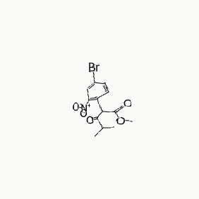 COC(=O)C(C(=O)C(C)C)c1ccc(Br)cc1[N+](=O)[O-]